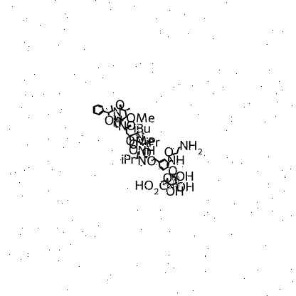 CCC(C)C(C(CC(=O)N1CCCC1C(OC)C(C)C(=O)NC(C)C(O)c1ccccc1)OC)N(C)C(=O)C(NC(=O)C(C(C)C)N(C)C(=O)OCc1ccc(O[C@H]2O[C@H](C(=O)O)[C@@H](O)[C@H](O)[C@H]2O)c(NC(=O)CCN)c1)C(C)C